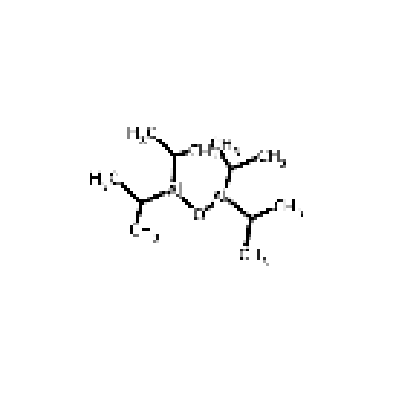 C[CH](C)[Al]([O][Al]([CH](C)C)[CH](C)C)[CH](C)C